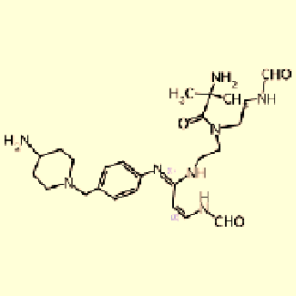 CC(C)(N)C(=O)N(CCNC=O)CCNC(/C=C\NC=O)=N/c1ccc(CN2CCC(N)CC2)cc1